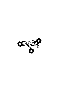 O=C(CN(C(=O)CN1C(=O)c2ccccc2C1=O)c1ccccc1)N1CCc2ccccc2C1